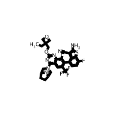 CCC1(COc2nc(N3CC4CCC(C3)N4)c3cc(C(F)(F)F)c(-c4ccc(F)c5sc(N)c(C#N)c45)c(F)c3n2)COC1